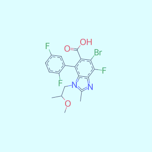 COC(C)Cn1c(C)nc2c(F)c(Br)c(C(=O)O)c(-c3cc(F)ccc3F)c21